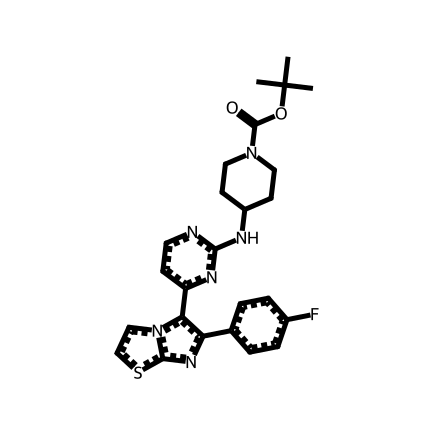 CC(C)(C)OC(=O)N1CCC(Nc2nccc(-c3c(-c4ccc(F)cc4)nc4sccn34)n2)CC1